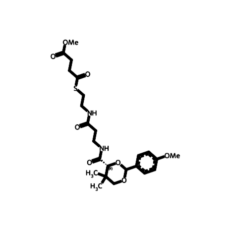 COC(=O)CCC(=O)SCCNC(=O)CCNC(=O)[C@@H]1OC(c2ccc(OC)cc2)OCC1(C)C